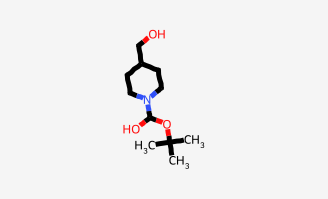 CC(C)(C)OC(O)N1CCC(CO)CC1